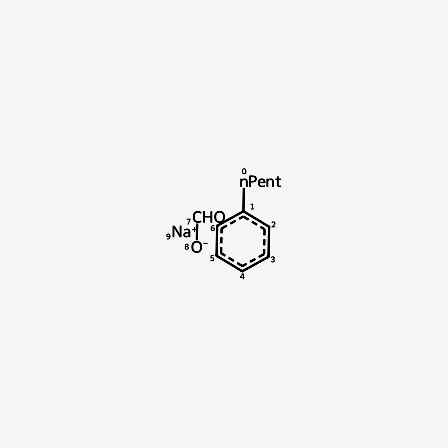 CCCCCc1ccccc1.O=C[O-].[Na+]